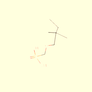 CCC(C)(C)COCP(=O)(O)O